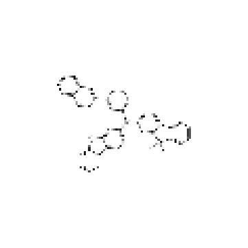 CC1(C)c2ccccc2-c2ccc(N(c3cccc(-c4ccc5ccccc5c4)c3)c3ccc4c(c3)sc3ccccc34)cc21